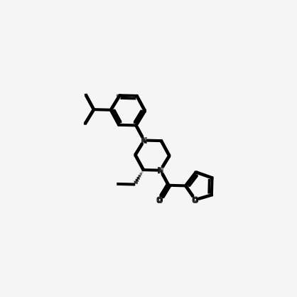 CC[C@@H]1CN(c2cc[c]c(C(C)C)c2)CCN1C(=O)c1ccco1